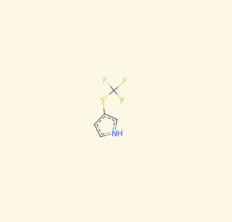 FC(F)(F)Sc1cc[nH]c1